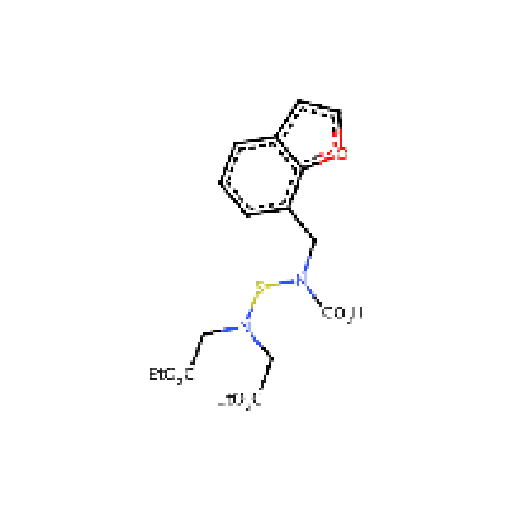 CCOC(=O)CN(CC(=O)OCC)SN(Cc1cccc2ccoc12)C(=O)O